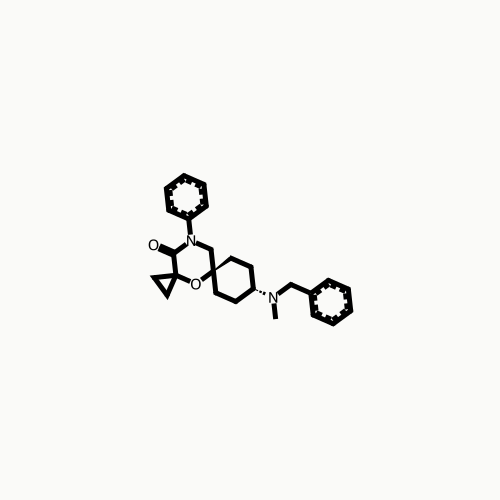 CN(Cc1ccccc1)[C@H]1CC[C@]2(CC1)CN(c1ccccc1)C(=O)C1(CC1)O2